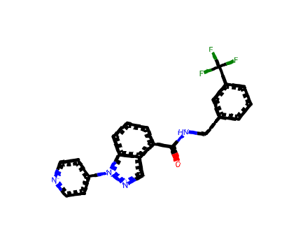 O=C(NCc1cccc(C(F)(F)F)c1)c1cccc2c1cnn2-c1ccncc1